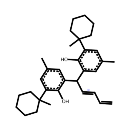 C=C/C=C/C(c1cc(C)cc(C2(C)CCCCC2)c1O)c1cc(C)cc(C2(C)CCCCC2)c1O